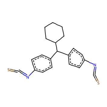 S=C=Nc1ccc(C(c2ccc(N=C=S)cc2)C2CCCCC2)cc1